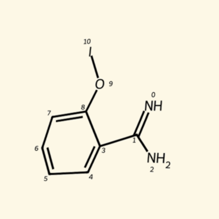 N=C(N)c1ccccc1OI